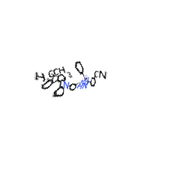 CC1(C)c2ccccc2-c2c1ccc1c2c2ccccc2n1-c1cccc(CN/C(=C\C(=N)c2cccc(C#N)c2)c2ccccc2)c1